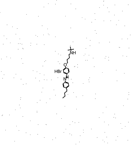 Br.CCCCc1ccc(N=Nc2ccc(OCCCCNC(C)(C)C)cc2)cc1